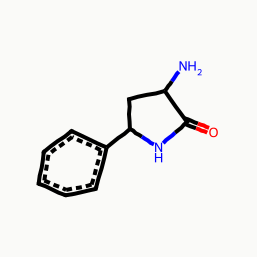 NC1CC(c2ccccc2)NC1=O